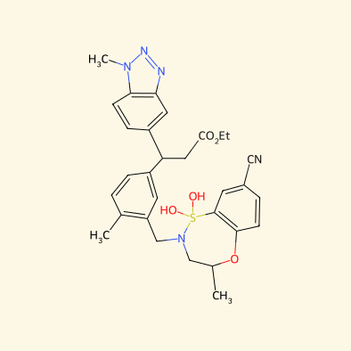 CCOC(=O)CC(c1ccc(C)c(CN2CC(C)Oc3ccc(C#N)cc3S2(O)O)c1)c1ccc2c(c1)nnn2C